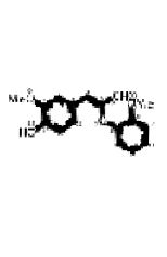 COc1cc(/C=C(/C=O)Oc2ccccc2OC)ccc1O